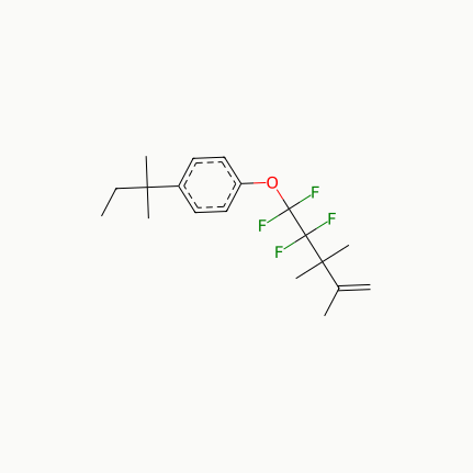 C=C(C)C(C)(C)C(F)(F)C(F)(F)Oc1ccc(C(C)(C)CC)cc1